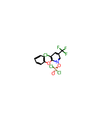 FC(F)(F)c1cnc(Oc2ccccc2)c(Cl)c1.O=S(=O)(Cl)Cl